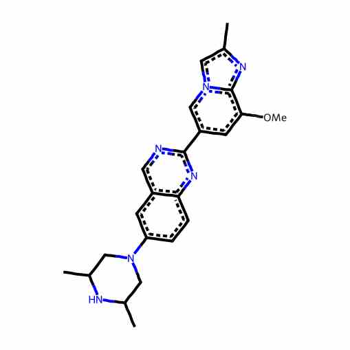 COc1cc(-c2ncc3cc(N4CC(C)NC(C)C4)ccc3n2)cn2cc(C)nc12